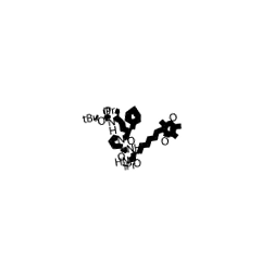 CC1=C(C)C(=O)C(CCCCCC[C@H](NC(=O)[C@@H]2CCCN2C(=O)[C@H](/C=C/[C@H](CC(C)C)NC(=O)OC(C)(C)C)Cc2ccccc2)C(=O)NC(C)C)=C(C)C1=O